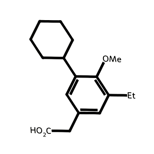 CCc1cc(CC(=O)O)cc(C2CCCCC2)c1OC